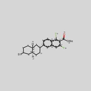 CCC1CC[C@@H]2CC(c3ccc4c(F)c(C(=O)OC)c(F)cc4c3)CC[C@H]2C1